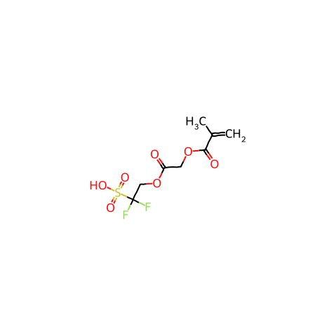 C=C(C)C(=O)OCC(=O)OCC(F)(F)S(=O)(=O)O